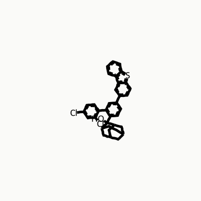 OC1(c2ccc(-c3ccc4sc5ccccc5c4c3)cc2-c2ccc(Cl)cc2Cl)C2CC3CC(C2)CC1C3